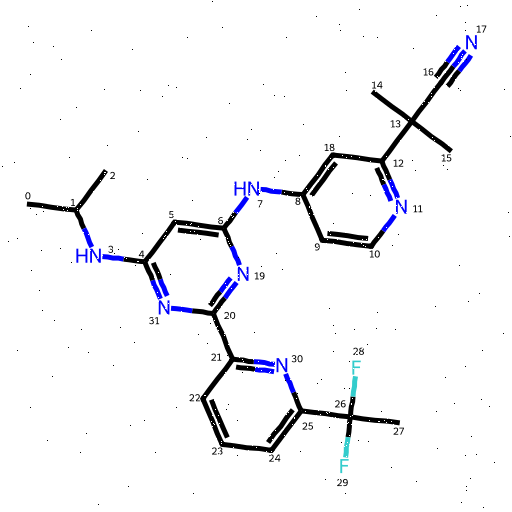 CC(C)Nc1cc(Nc2ccnc(C(C)(C)C#N)c2)nc(-c2cccc(C(C)(F)F)n2)n1